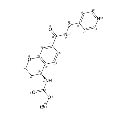 CC(C)(C)OC(=O)N[C@H]1CCOc2cc(C(=O)NSc3ccncc3)ccc21